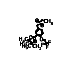 CCS(=O)(=O)Cc1ccc(OCC(F)(F)F)c(B2OC(C)(C)C(C)(C)O2)c1